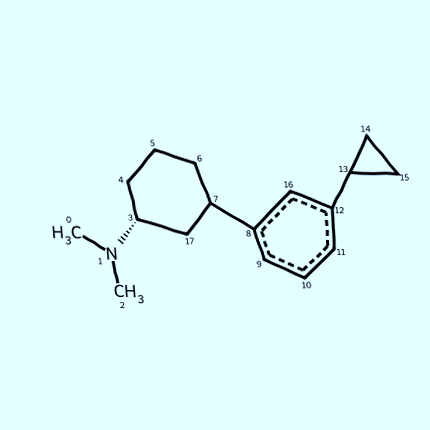 CN(C)[C@@H]1CCCC(c2cccc(C3CC3)c2)C1